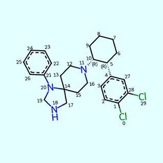 Clc1ccc([C@H]2CCCC[C@H]2N2CCC3(CC2)CNCN3c2ccccc2)cc1Cl